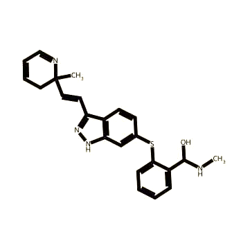 CNC(O)c1ccccc1Sc1ccc2c(/C=C/C3(C)CC=CC=N3)n[nH]c2c1